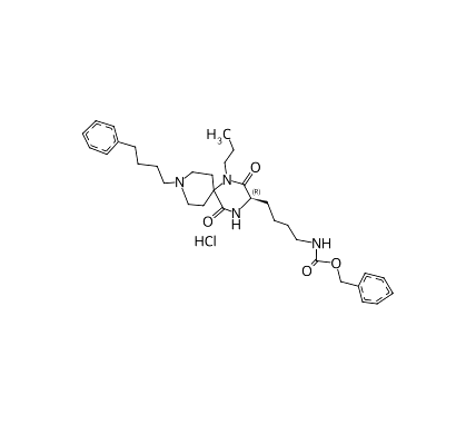 CCCN1C(=O)[C@@H](CCCCNC(=O)OCc2ccccc2)NC(=O)C12CCN(CCCCc1ccccc1)CC2.Cl